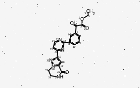 CCOC(=O)C(=O)c1cccc(-c2nccc(-c3cc4n(n3)CCNC4=O)n2)c1